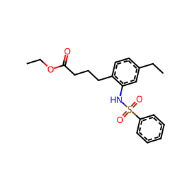 CCOC(=O)CCCc1ccc(CC)cc1NS(=O)(=O)c1ccccc1